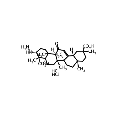 C[C@]1(C(=O)O)CC[C@]2(C)CC[C@]3(C)C(=CC(=O)[C@@H]4[C@@]5(C)CC[C@H](NN)[C@@](C)(C(=O)O)[C@@H]5CC[C@]43C)[C@@H]2C1.Cl.Cl